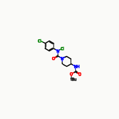 CC(C)(C)OC(=O)NC1CCN(C(=O)N(Cl)c2ccc(Cl)cc2)CC1